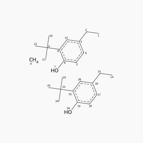 C.CCc1ccc(O)c(C(C)(C)C)c1.CCc1ccc(O)c(C(C)(C)C)c1